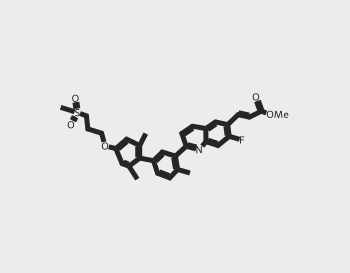 COC(=O)/C=C/c1cc2ccc(-c3cc(-c4c(C)cc(OCCCS(C)(=O)=O)cc4C)ccc3C)nc2cc1F